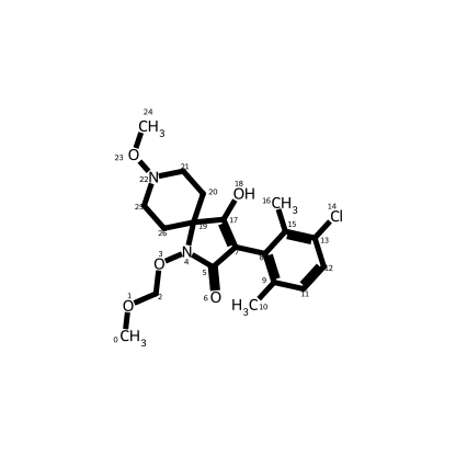 COCON1C(=O)C(c2c(C)ccc(Cl)c2C)=C(O)C12CCN(OC)CC2